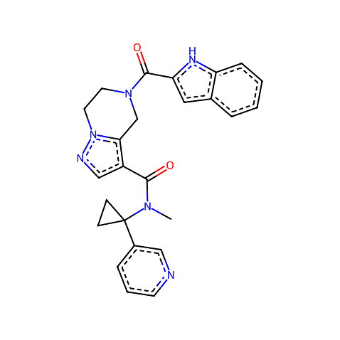 CN(C(=O)c1cnn2c1CN(C(=O)c1cc3ccccc3[nH]1)CC2)C1(c2cccnc2)CC1